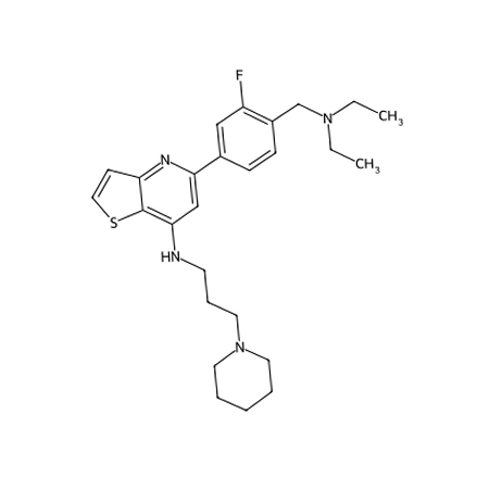 CCN(CC)Cc1ccc(-c2cc(NCCCN3CCCCC3)c3sccc3n2)cc1F